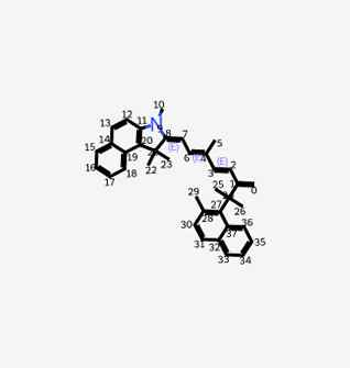 C=C(/C=C/C(C)=C/C=C1/N(C)c2ccc3ccccc3c2C1(C)C)C(C)(C)c1c(C)ccc2ccccc12